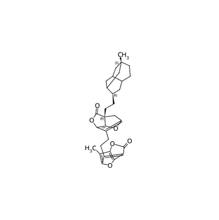 Cc1c2c3oc1c(CCc1c4oc5c1OC(=O)[C@]5(CC[C@@H]1CC5CC[C@@]6(C)CC5CC1C6)C4)c3C(=O)O2